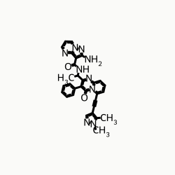 Cc1c(C#Cc2cccc3nc(C(C)NC(=O)c4c(N)nn5cccnc45)c(-c4ccccc4)c(=O)n23)cnn1C